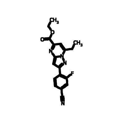 CCOC(=O)c1cc(CC)n2nc(-c3ccc(C#N)cc3F)cc2n1